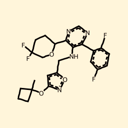 CC1(Oc2cc(CNc3c(-c4cc(F)ccc4F)ncnc3C3CCC(F)(F)CO3)on2)CCC1